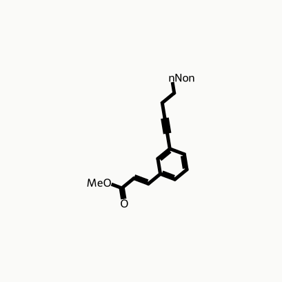 CCCCCCCCCCCC#Cc1cccc(/C=C/C(=O)OC)c1